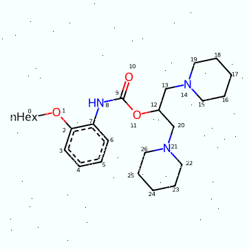 CCCCCCOc1ccccc1NC(=O)OC(CN1CCCCC1)CN1CCCCC1